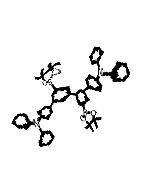 CC1(C)OB(c2cc(-c3ccc(N(c4ccccc4)c4ccccc4)cc3)cc(-c3cc(B4OC(C)(C)C(C)(C)O4)cc(-c4ccc(N(c5ccccc5)c5ccccc5)cc4)c3)c2)OC1(C)C